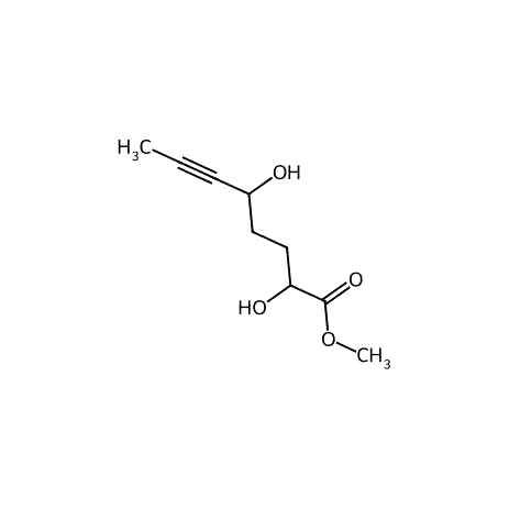 CC#CC(O)CCC(O)C(=O)OC